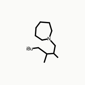 CCC(C)CC(C)C(C)CN1CCCCCC1